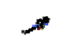 CCCCCCNC(=O)N1CCCc2c([nH]c3ccccc23)C1C(F)(F)F